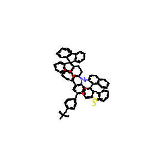 CC(C)(C)c1ccc(-c2ccc(N(C3=CC4=C(CC3)C3(c5ccccc54)c4ccccc4-c4ccccc43)c3ccc4ccccc4c3-c3c#ccc4sc5ccccc5c34)c(-c3ccccc3)c2)cc1